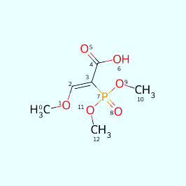 CO/C=C(/C(=O)O)P(=O)(OC)OC